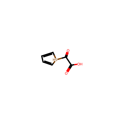 O=C(O)C(=O)[SH]1C=CC=C1